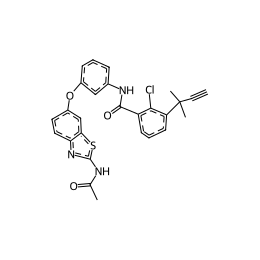 C#CC(C)(C)c1cccc(C(=O)Nc2cccc(Oc3ccc4nc(NC(C)=O)sc4c3)c2)c1Cl